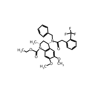 CCOC(=O)N1c2cc(OC)c(OC)cc2[C@@H](N(Cc2ccccc2)C(=O)Cc2ccccc2C(F)(F)F)C[C@H]1C